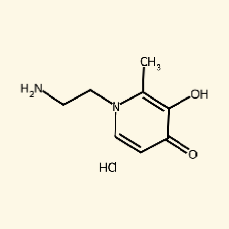 Cc1c(O)c(=O)ccn1CCN.Cl